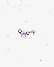 CC1(C)C(=O)N(c2ccc(OCC(F)(F)F)cc2)C(=O)N1Cc1ccncc1